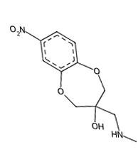 CC(C)NCC1(O)COc2ccc([N+](=O)[O-])cc2OC1